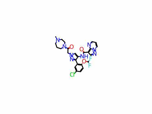 CN1CCCN(C(=O)Cn2cc(NC(=O)c3cnn4cccnc34)c(-c3cc(Cl)ccc3OC(F)F)n2)CC1